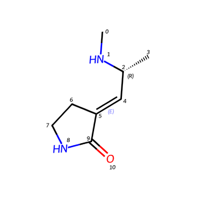 CN[C@H](C)/C=C1\CCNC1=O